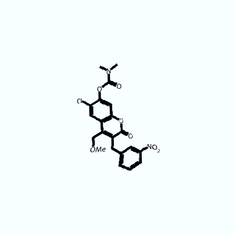 COCc1c(Cc2cccc([N+](=O)[O-])c2)c(=O)oc2cc(OC(=O)N(C)C)c(Cl)cc12